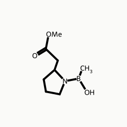 COC(=O)CC1CCCN1B(C)O